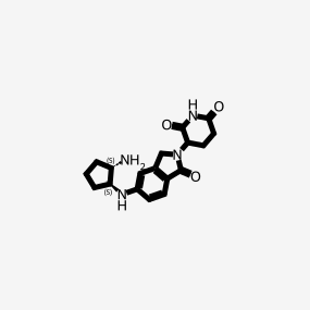 N[C@H]1CCC[C@@H]1Nc1ccc2c(c1)CN(C1CCC(=O)NC1=O)C2=O